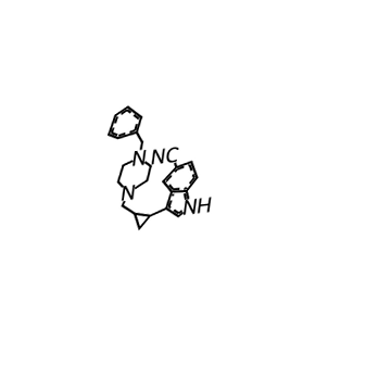 N#Cc1ccc2[nH]cc(C3CC3CN3CCN(Cc4ccccc4)CC3)c2c1